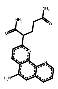 NC(=O)CCC(C(N)=O)c1ccc2c(N)cc3cccnc3c2n1